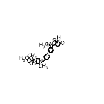 C[C@H]1CN(C(=O)OC(C)(C)C)CCN1CC1CCN(c2ccc3c(C4CCC(=O)NC4=O)nn(C)c3c2)CC1